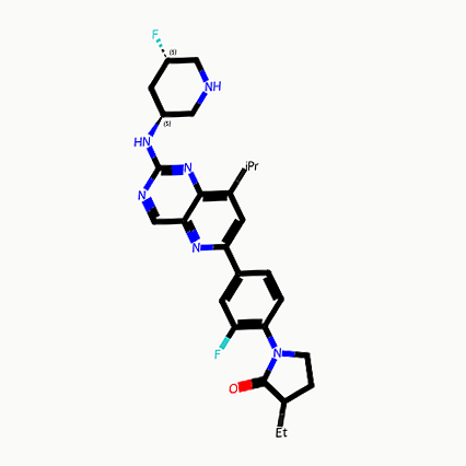 CCC1CCN(c2ccc(-c3cc(C(C)C)c4nc(N[C@@H]5CNC[C@@H](F)C5)ncc4n3)cc2F)C1=O